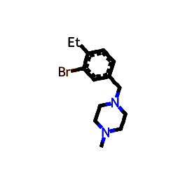 CCc1ccc(CN2CCN(C)CC2)cc1Br